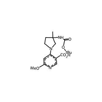 COc1cc(N2CCC(C)(NC(=O)OC(C)(C)C)C2)c(C(=O)O)cn1